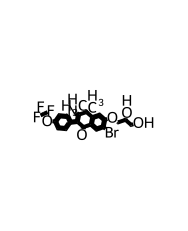 CC1(C)c2cc(OCC(O)CO)c(Br)cc2C(=O)c2c1[nH]c1cc(OC(F)(F)F)ccc21